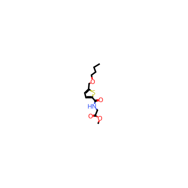 CCCCOCc1ccc(C(=O)NCC(=O)OC)s1